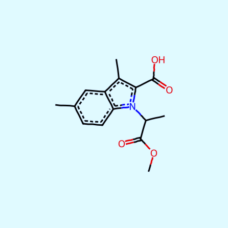 COC(=O)C(C)n1c(C(=O)O)c(C)c2cc(C)ccc21